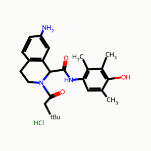 Cc1cc(NC(=O)C2c3cc(N)ccc3CCN2C(=O)CC(C)(C)C)c(C)c(C)c1O.Cl